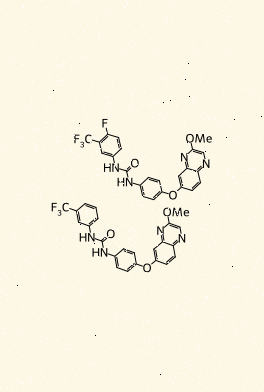 COc1cnc2ccc(Oc3ccc(NC(=O)Nc4ccc(F)c(C(F)(F)F)c4)cc3)cc2n1.COc1cnc2ccc(Oc3ccc(NC(=O)Nc4cccc(C(F)(F)F)c4)cc3)cc2n1